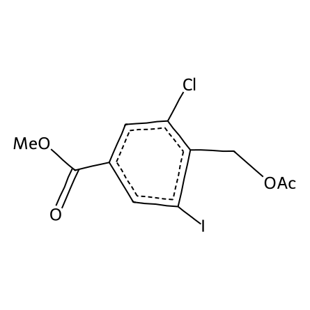 COC(=O)c1cc(Cl)c(COC(C)=O)c(I)c1